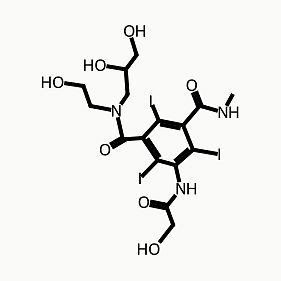 CNC(=O)c1c(I)c(NC(=O)CO)c(I)c(C(=O)N(CCO)CC(O)CO)c1I